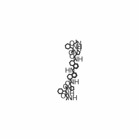 CNC(C)C(=O)NC(C(=O)N1CCCC1C(=O)NC1CCCc2c(Nc3cccc4c3CCC[C@H]4NC(=O)C3CCCN3C(=O)C(NC(=O)C(C)NC)C3CCCCC3)cccc21)C1CCCCC1